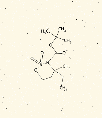 CCC1(C)CCOS(=O)(=O)N1C(=O)OC(C)(C)C